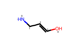 [NH]CC=CO